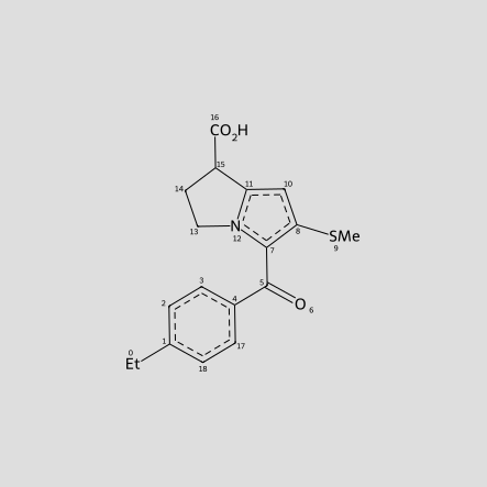 CCc1ccc(C(=O)c2c(SC)cc3n2CCC3C(=O)O)cc1